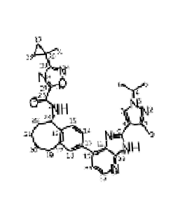 Cc1nn(C(C)C)cc1-c1nc2c(-c3ccc4c(c3)CCCC[C@H]4NC(=O)c3nc(C4(C)CC4)no3)ccnc2[nH]1